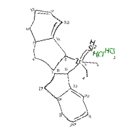 Cl.Cl.[CH3][Zr]([CH3])(=[SiH2])([CH]1CCC2CC=CC=C21)[CH]1CCC2CC=CC=C21